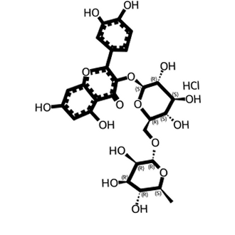 C[C@@H]1O[C@@H](OC[C@H]2O[C@@H](Oc3c(-c4ccc(O)c(O)c4)oc4cc(O)cc(O)c4c3=O)[C@H](O)[C@@H](O)[C@@H]2O)[C@H](O)[C@H](O)[C@H]1O.Cl